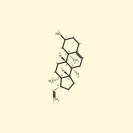 C=C[C@H]1CC[C@H]2[C@@H]3CC=C4CCC(O)C[C@]4(C)[C@H]3CC[C@]12C